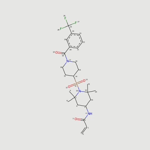 C=CC(=O)NC1CC(C)(C)N(S(=O)(=O)C2CCN(C(=O)c3cccc(C(F)(F)F)c3)CC2)C(C)(C)C1